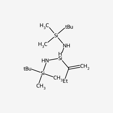 C=C(CC)[SiH](N[Si](C)(C)C(C)(C)C)N[Si](C)(C)C(C)(C)C